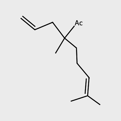 C=CCC(C)(CCC=C(C)C)C(C)=O